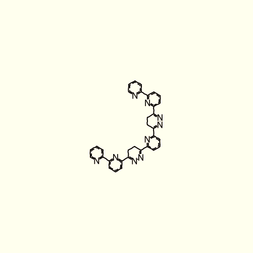 c1ccc(-c2cccc(C3=NN=C(c4cccc(C5=NN=C(c6cccc(-c7ccccn7)n6)CC5)n4)CC3)n2)nc1